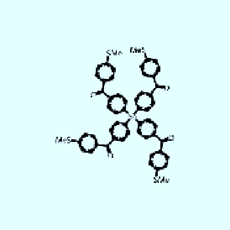 CSc1ccc(C(=O)c2cc[c]([Sn]([c]3ccc(C(=O)c4ccc(SC)cc4)cc3)([c]3ccc(C(=O)c4ccc(SC)cc4)cc3)[c]3ccc(C(=O)c4ccc(SC)cc4)cc3)cc2)cc1